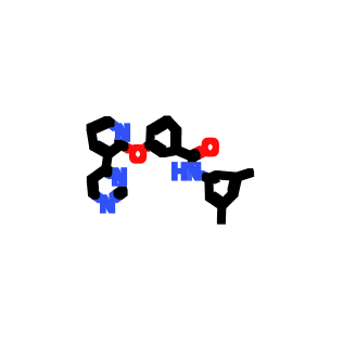 Cc1cc(C)cc(NC(=O)c2cccc(Oc3ncccc3-c3ccncn3)c2)c1